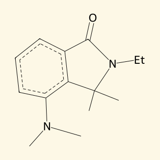 CCN1C(=O)c2cccc(N(C)C)c2C1(C)C